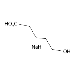 O=C(O)CCCCO.[NaH]